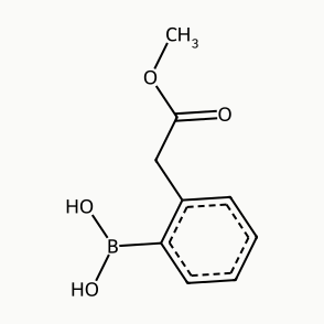 COC(=O)Cc1ccccc1B(O)O